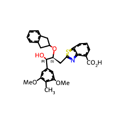 COc1cc([C@@H](O)[C@H](Cc2nc3c(C(=O)O)cccc3s2)OC2Cc3ccccc3C2)cc(OC)c1C